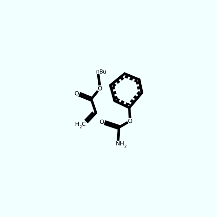 C=CC(=O)OCCCC.NC(=O)Oc1ccccc1